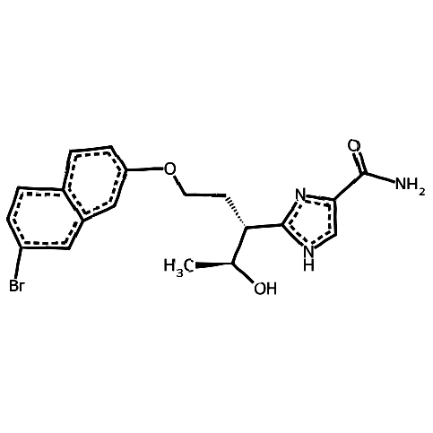 C[C@H](O)[C@H](CCOc1ccc2ccc(Br)cc2c1)c1nc(C(N)=O)c[nH]1